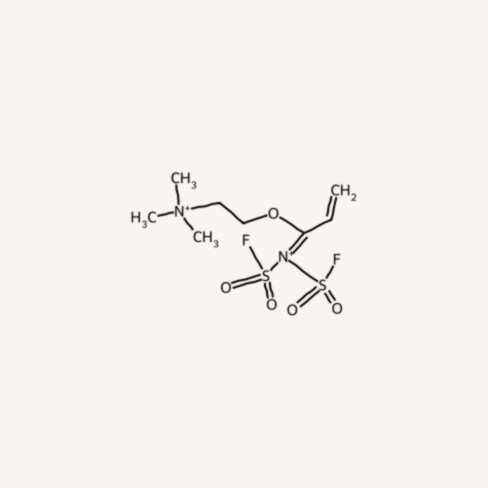 C=CC(OCC[N+](C)(C)C)=[N+](S(=O)(=O)F)S(=O)(=O)F